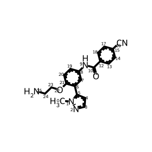 Cn1nccc1-c1cc(NC(=O)c2ccc(C#N)cc2)ccc1OCCN